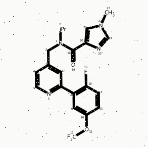 CC(C)N(Cc1ccnc(-c2cc(OC(F)(F)F)ccc2F)c1)C(=O)c1cn(C)cn1